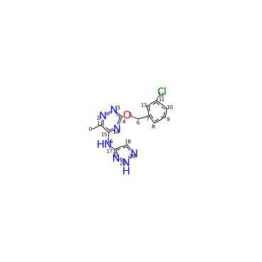 Cc1nnc(OCc2cccc(Cl)c2)nc1Nc1cn[nH]n1